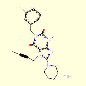 CC#CCn1c(N2CCC[C@@H](N)C2)nc2c1c(=O)n(Cc1cccc(C(F)(F)F)c1)c(=O)n2C